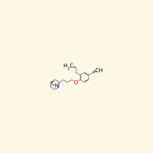 C#Cc1ccc(OCCCN2CC3CCC2CC3)c(CC=C)c1